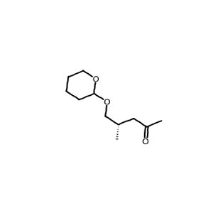 CC(=O)C[C@H](C)COC1CCCCO1